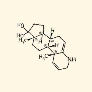 C[C@]12C=CCNC1=CC[C@@H]1[C@H]2CC[C@@]2(C)[C@H]1CCC2(O)O